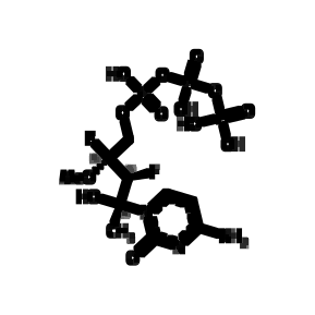 CO[C@](F)(COP(=O)(O)OP(=O)(O)OP(=O)(O)O)[C@@H](F)[C@@](C)(O)n1ccc(N)nc1=O